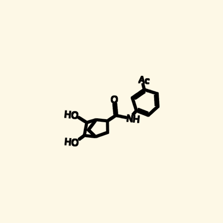 CC(=O)c1cccc(NC(=O)C2CC3CC2C(O)C3O)c1